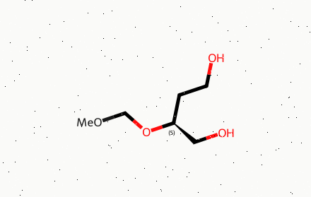 COCO[C@H](CO)CCO